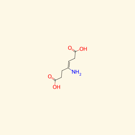 N/C(=C\CC(=O)O)CCC(=O)O